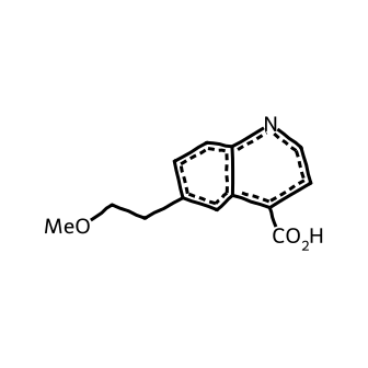 COCCc1ccc2nccc(C(=O)O)c2c1